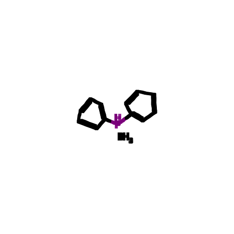 B.c1ccc(Pc2ccccc2)cc1